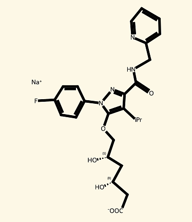 CC(C)c1c(C(=O)NCc2ccccn2)nn(-c2ccc(F)cc2)c1OC[C@@H](O)C[C@@H](O)CC(=O)[O-].[Na+]